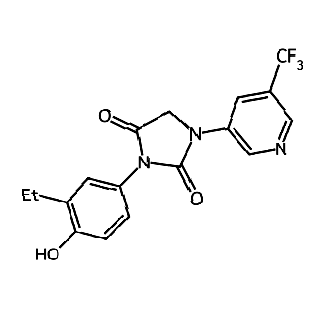 CCc1cc(N2C(=O)CN(c3cncc(C(F)(F)F)c3)C2=O)ccc1O